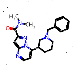 CN(C)C(=O)c1cc2nccc(C3CCCN(Cc4ccccc4)C3)n2n1